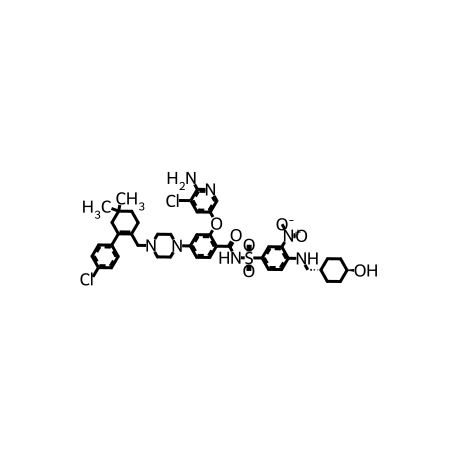 CC1(C)CCC(CN2CCN(c3ccc(C(=O)NS(=O)(=O)c4ccc(NC[C@H]5CC[C@H](O)CC5)c([N+](=O)[O-])c4)c(Oc4cnc(N)c(Cl)c4)c3)CC2)=C(c2ccc(Cl)cc2)C1